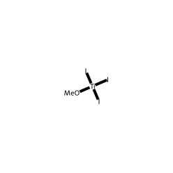 C[O][Ti]([I])([I])[I]